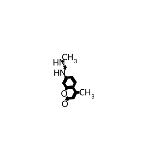 CNCNc1ccc2c(C)cc(=O)oc2c1